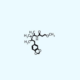 COCCC(=O)NC(C)N(C)C(C)Cc1ccc2c(c1)OCO2